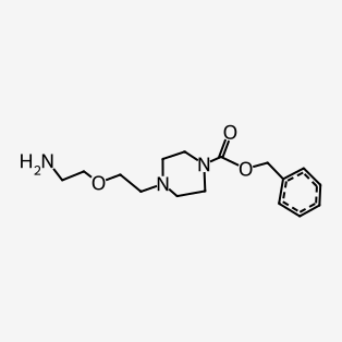 NCCOCCN1CCN(C(=O)OCc2ccccc2)CC1